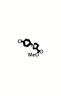 COC(=O)C1CCN(c2ccc(Cl)cc2)C1